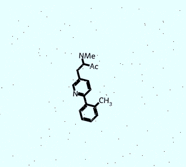 CNC(Cc1ccc(-c2ccccc2C)nc1)C(C)=O